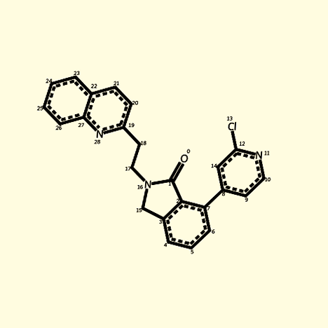 O=C1c2c(cccc2-c2ccnc(Cl)c2)CN1CCc1ccc2ccccc2n1